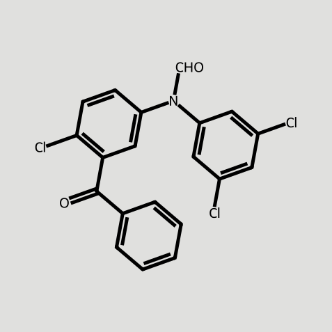 O=CN(c1cc(Cl)cc(Cl)c1)c1ccc(Cl)c(C(=O)c2ccccc2)c1